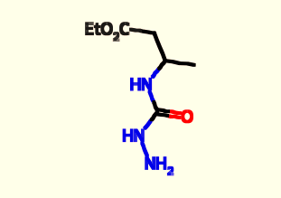 CCOC(=O)CC(C)NC(=O)NN